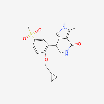 Cc1[nH]cc2c1C(=O)NCC2c1cc(S(C)(=O)=O)ccc1OCC1CC1